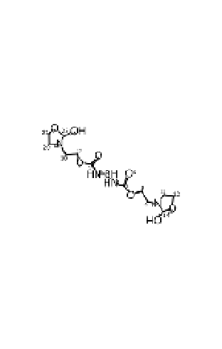 O=C(NBNC(=O)OCCN1CCOC1O)OCCN1CCOC1O